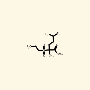 CCC(CCC(C)(C(=O)OC)S(=O)(=O)CCC(F)(F)F)C(F)(F)F